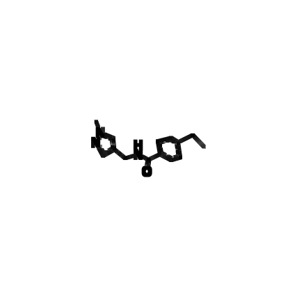 CCc1ccc(C(=O)NCc2cnn(C)c2)cc1